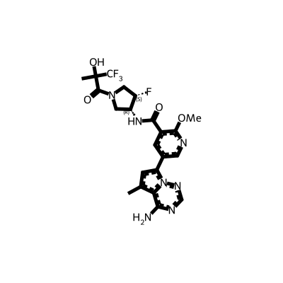 COc1ncc(-c2cc(C)c3c(N)ncnn23)cc1C(=O)N[C@@H]1CN(C(=O)C(C)(O)C(F)(F)F)C[C@@H]1F